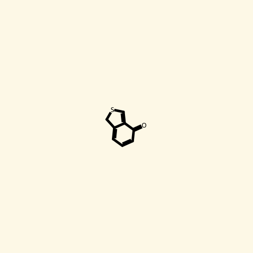 O=C1C=CC=C2CSC=C12